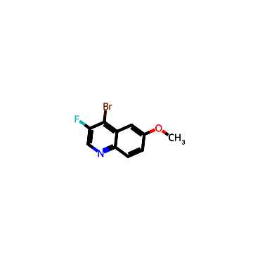 COc1ccc2ncc(F)c(Br)c2c1